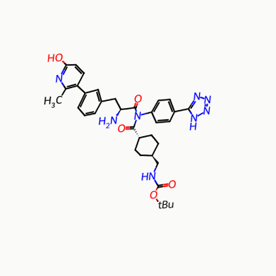 Cc1nc(O)ccc1-c1cccc(C[C@H](N)C(=O)N(c2ccc(-c3nnn[nH]3)cc2)C(=O)[C@H]2CC[C@H](CNC(=O)OC(C)(C)C)CC2)c1